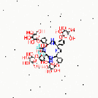 OCC1O[C@@H](Oc2cccc(-c3c4nc(c(-c5cccc(O[C@@H]6OC(CO)[C@@H](O)[C@H](O)C6O)c5)c5ccc([nH]5)c(-c5cccc(O[C@@H]6OC(CO)[C@@H](O)[C@H](O)C6O)c5)c5nc(c(-c6cccc(OC7O[C@H](CO)C(O)[C@@H](O)[C@H]7O)c6)c6ccc3[nH]6)C(O)(C(F)(F)F)C5(O)C(F)(F)F)C=C4)c2)C(O)[C@@H](O)[C@@H]1O